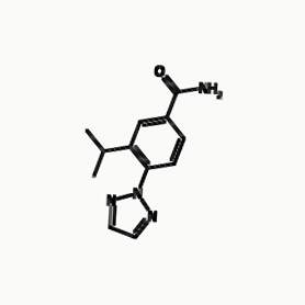 CC(C)c1cc(C(N)=O)ccc1-n1nccn1